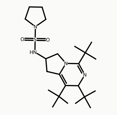 CC(C)(C)C1=NC(C(C)(C)C)C(C(C)(C)C)=C2CC(NS(=O)(=O)N3CCCC3)CN12